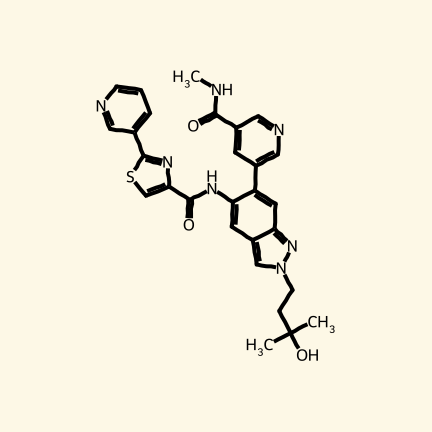 CNC(=O)c1cncc(-c2cc3nn(CCC(C)(C)O)cc3cc2NC(=O)c2csc(-c3cccnc3)n2)c1